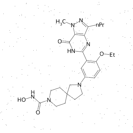 CCCc1nn(C)c2c(=O)[nH]c(-c3cc(N4CCC5(CCN(C(=O)NO)CC5)C4)ccc3OCC)nc12